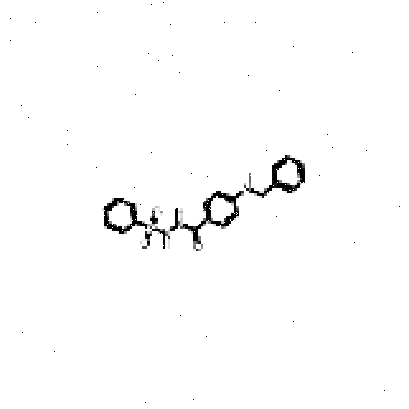 O=C(NNS(=O)(=O)c1ccccc1)c1ccc(NCc2ccccc2)cc1